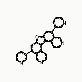 c1cncc(-c2cc3oc4cc(-c5cccnc5)c5cnccc5c4c3c3ccncc23)c1